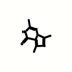 Cc1nn2c(C)nc(C)c2c(=O)[nH]1